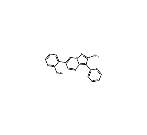 COc1ccccc1-c1cnc2c(-c3ccccn3)c(N)nn2c1